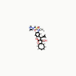 CN(c1cccc(C(c2c(O)c3c(oc2=O)CCCCCC3)C2CC2)c1)S(=O)(=O)Cn1ccnc1